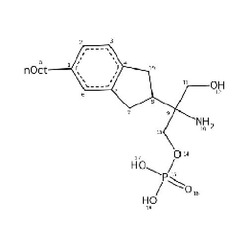 CCCCCCCCc1ccc2c(c1)CC(C(N)(CO)COP(=O)(O)O)C2